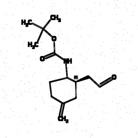 C=C1CCC(NC(=O)OC(C)(C)C)[C@@H](CC=O)C1